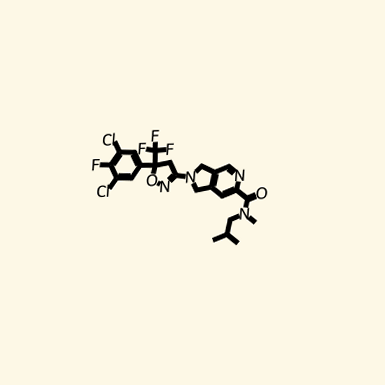 CC(C)CN(C)C(=O)c1cc2c(cn1)CN(C1=NOC(c3cc(Cl)c(F)c(Cl)c3)(C(F)(F)F)C1)C2